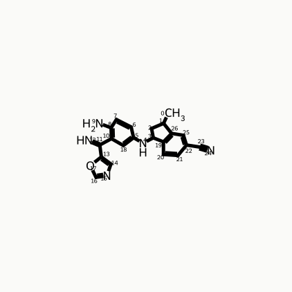 CC1CC(Nc2ccc(N)c(C(=N)c3cnco3)c2)c2ccc(C#N)cc21